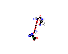 Cc1ncsc1-c1ccc([C@H](C)NC(=O)[C@@H]2C[C@@H](O)CN2C(=O)[C@H](C(N)C(=O)COCCOCCOCCOCCC(C)(N)CCOc2nc(N3CCNCC3)c3cc(Cl)c(-c4cc(O)cc5ccccc45)c(F)c3n2)C(C)(C)C)cc1